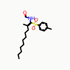 CCCCCCCCC/C(C)=C(/NC=O)S(=O)(=O)c1ccc(C)cc1